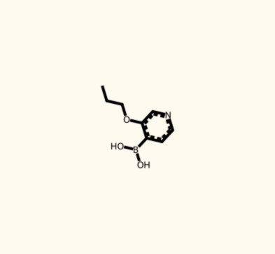 CCCOc1cnccc1B(O)O